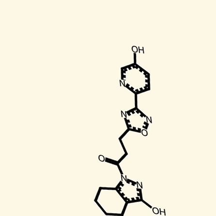 O=C(CCc1nc(-c2ccc(O)cn2)no1)n1nc(O)c2c1CCCC2